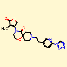 CC1=C(N2CCOC3(CCN(CCc4ccc(-n5cnnn5)nc4)CC3)C2=O)COC1=O